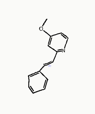 COc1ccnc(/C=C/c2ccccc2)c1